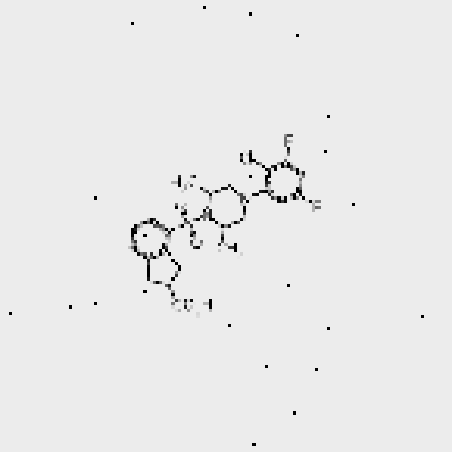 CC1CN(c2cc(F)cc(F)c2Cl)CC(C)N1S(=O)(=O)c1cccc2c1CC(C(=O)O)C2